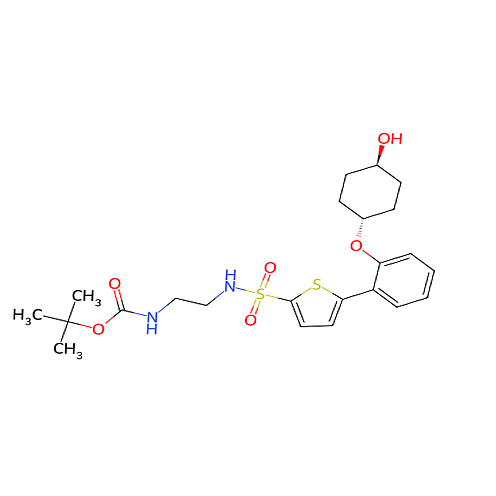 CC(C)(C)OC(=O)NCCNS(=O)(=O)c1ccc(-c2ccccc2O[C@H]2CC[C@H](O)CC2)s1